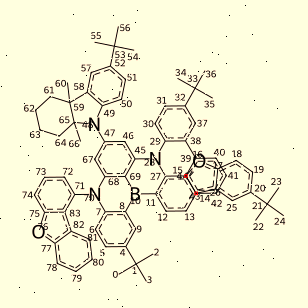 CC(C)(C)c1ccc2c(c1)B1c3ccc4c(oc5ccc(C(C)(C)C)cc54)c3N(c3ccc(C(C)(C)C)cc3-c3ccccc3)c3cc(N4c5ccc(C(C)(C)C)cc5C5(C)CCCCC45C)cc(c31)N2c1cccc2oc3ccccc3c12